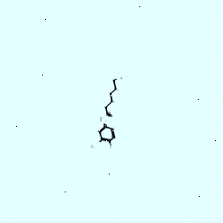 CCCCCCCCCCCCCCCC(=O)Nc1ccc(C(C)=O)c(O)c1